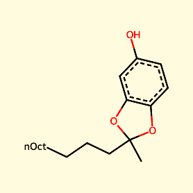 CCCCCCCCCCCC1(C)Oc2ccc(O)cc2O1